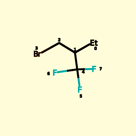 CCC(CBr)C(F)(F)F